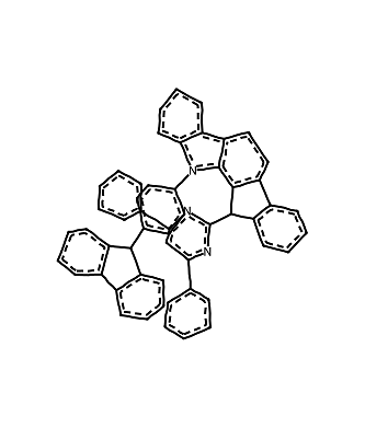 c1ccc(-c2cc(-c3ccccc3)nc(C3c4ccccc4-c4ccc5c6ccccc6n(-c6ccc(C7c8ccccc8-c8ccccc87)cc6)c5c43)n2)cc1